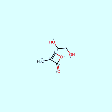 CC1=COC1=O.OCCO